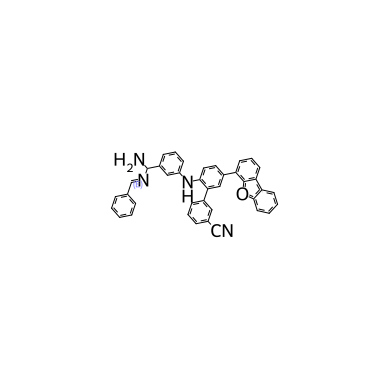 N#Cc1cccc(-c2cc(-c3cccc4c3oc3ccccc34)ccc2Nc2cccc(C(N)/N=C/c3ccccc3)c2)c1